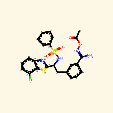 CC(=O)ON=C(N)c1cccc(CC(NS(=O)(=O)c2ccccc2)c2nc3cccc(Cl)c3s2)c1